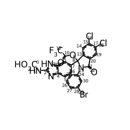 O=C(O)Nc1nc2ccc(C3(OC(=O)C(F)(F)F)c4cc(Cl)c(Cl)cc4C(=O)N3c3cccc(Br)c3)cc2[nH]1